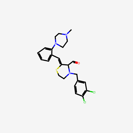 CN1CCN(c2ccccc2C=C2SCCN(Cc3ccc(Cl)c(Cl)c3)C2C=O)CC1